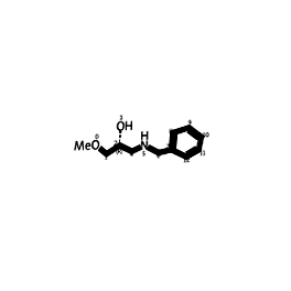 COC[C@H](O)CNCc1ccccc1